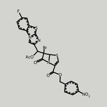 CC(=O)OC(c1cn2c(n1)sc1cc(F)ccc12)C1(Br)C(=O)N2C(C(=O)OCc3ccc([N+](=O)[O-])cc3)=CSC21